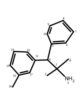 [CH2]C(C)(N)C(c1ccccc1)c1cccc(C)c1